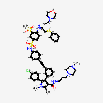 Cc1c(C(=O)NCCCN2CCN(C)CC2)c(-c2cccc(C#Cc3ccc(NS(=O)(=O)c4ccc(N[C@H](CCN5CCOCC5)CSc5ccccc5)c(S(=O)(=O)C(F)(F)F)c4)cc3)c2)c(-c2ccc(Cl)cc2)n1C